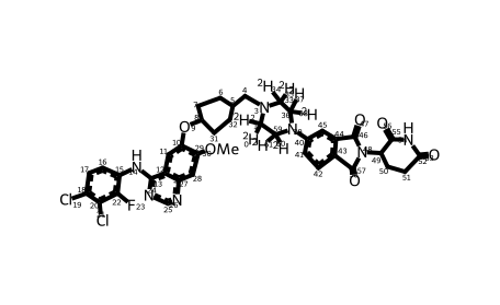 [2H]C1([2H])N(CC2CCC(Oc3cc4c(Nc5ccc(Cl)c(Cl)c5F)ncnc4cc3OC)CC2)C([2H])([2H])C([2H])([2H])N(c2ccc3c(c2)C(=O)N(C2CCC(=O)NC2=O)C3=O)C1([2H])[2H]